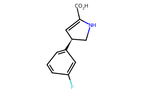 O=C(O)C1=C[C@H](c2cc[c]c(F)c2)CN1